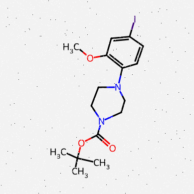 COc1cc(I)ccc1N1CCN(C(=O)OC(C)(C)C)CC1